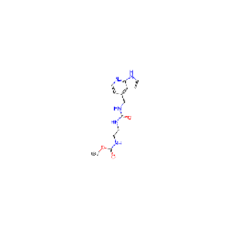 CC(C)(C)OC(=O)NCCNC(=O)NCc1ccnc2[nH]ccc12